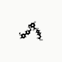 COc1cc(-c2ccc(Cn3ncc4cc(Cl)cc(C(=O)NC5CC6(CC(CC(=O)O)C6)C5)c43)nc2)ccc1F